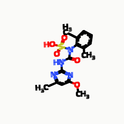 COc1cc(C)nc(NC(=O)N(c2c(C)cccc2C)S(=O)(=O)O)n1